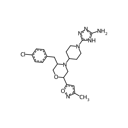 Cc1cc(C2CN(C3CCN(c4nnc(N)[nH]4)CC3)C(Cc3ccc(Cl)cc3)CO2)on1